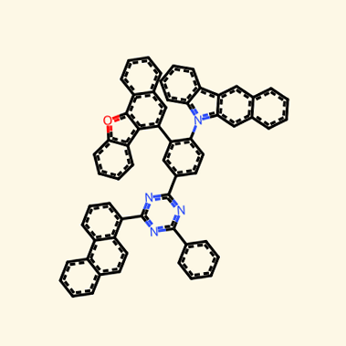 c1ccc(-c2nc(-c3ccc(-n4c5ccccc5c5cc6ccccc6cc54)c(-c4cc5ccccc5c5oc6ccccc6c45)c3)nc(-c3cccc4c3ccc3ccccc34)n2)cc1